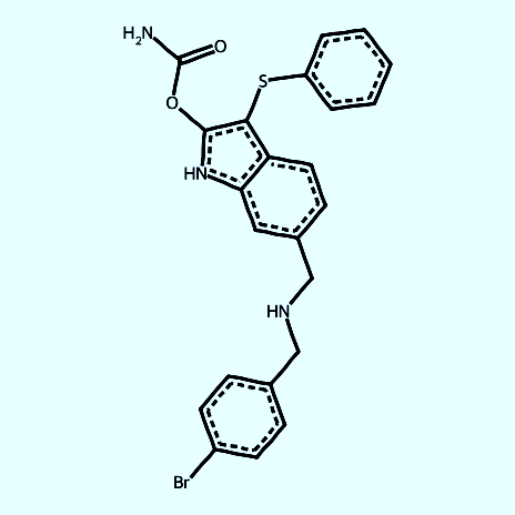 NC(=O)Oc1[nH]c2cc(CNCc3ccc(Br)cc3)ccc2c1Sc1ccccc1